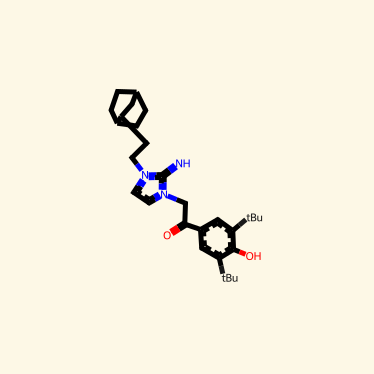 CC(C)(C)c1cc(C(=O)Cn2ccn(CCC3CC4CCC3CC4)c2=N)cc(C(C)(C)C)c1O